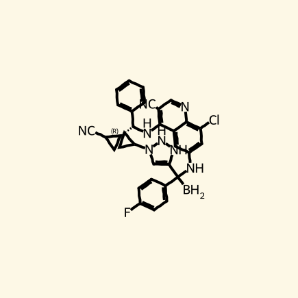 BC(Nc1cc(Cl)c2ncc(C#N)c(NC(c3ccccc3)[C@@H]3CC3C#N)c2c1)(C1=CN(C2CC2)NN1)c1ccc(F)cc1